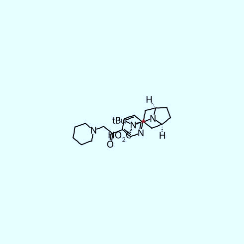 CC(C)(C)N(C(=O)O)[C@H]1C[C@H]2CC[C@@H](C1)N2c1ccc(C(=O)CN2CCCCC2)cn1